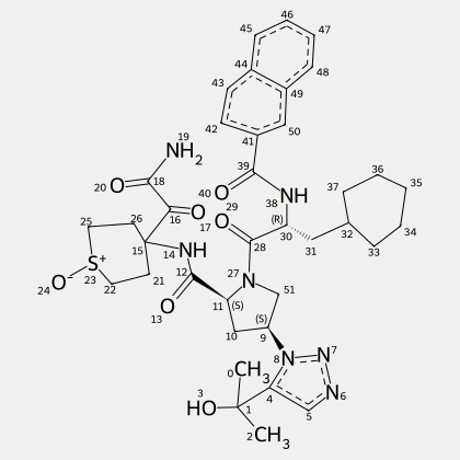 CC(C)(O)c1cnnn1[C@H]1C[C@@H](C(=O)NC2(C(=O)C(N)=O)CC[S+]([O-])CC2)N(C(=O)[C@@H](CC2CCCCC2)NC(=O)c2ccc3ccccc3c2)C1